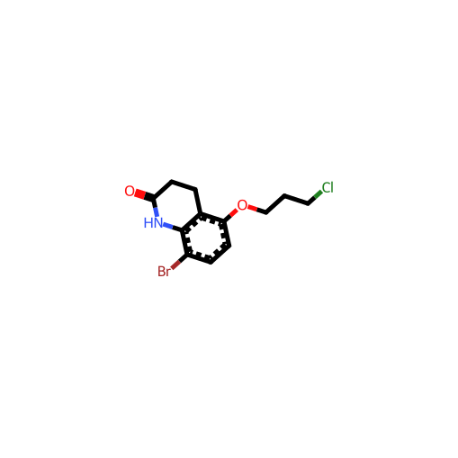 O=C1CCc2c(OCCCCl)ccc(Br)c2N1